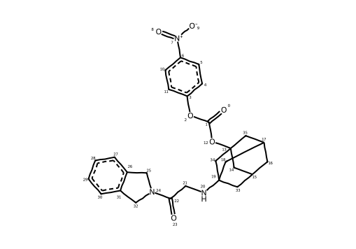 O=C(Oc1ccc([N+](=O)[O-])cc1)OC12CC3CC(CC(NCC(=O)N4Cc5ccccc5C4)(C3)C1)C2